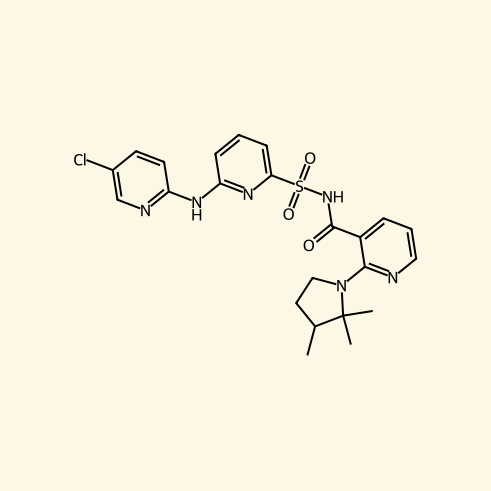 CC1CCN(c2ncccc2C(=O)NS(=O)(=O)c2cccc(Nc3ccc(Cl)cn3)n2)C1(C)C